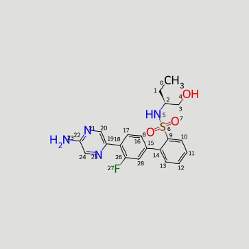 CC[C@@H](CO)NS(=O)(=O)c1ccccc1-c1ccc(-c2cnc(N)cn2)c(F)c1